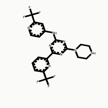 FC(F)(F)c1cc(Nc2nc(-c3cccc(C(F)(F)F)n3)nc(N3CCNCC3)n2)ccn1